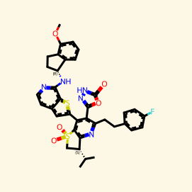 COc1cccc2c1CC[C@H]2Nc1nccc2cc(-c3c(-c4n[nH]c(=O)o4)c(CCc4ccc(F)cc4)nc4c3S(=O)(=O)C[C@H]4C(C)C)sc12